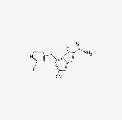 N#Cc1cc(Cc2ccnc(F)c2)c2[nH]c(C(N)=O)cc2c1